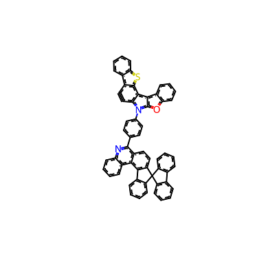 c1c2c3ccccc3sc2c2c3c4ccccc4oc3n(-c3ccc(-c4nc5ccccc5c5c6c(ccc45)C4(c5ccccc5-c5ccccc54)c4ccccc4-6)cc3)c2c#1